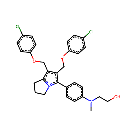 CN(CCO)c1ccc(-c2c(COc3ccc(Cl)cc3)c(COc3ccc(Cl)cc3)c3n2CCC3)cc1